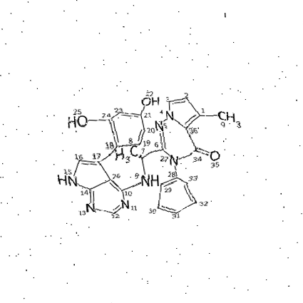 Cc1ccn2nc([C@H](C)Nc3ncnc4[nH]cc(-c5ccc(O)cc5O)c34)n(-c3ccccc3)c(=O)c12